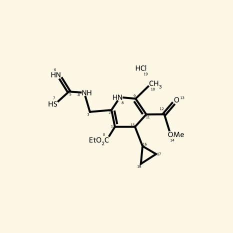 CCOC(=O)C1=C(CNC(=N)S)NC(C)=C(C(=O)OC)C1C1CC1.Cl